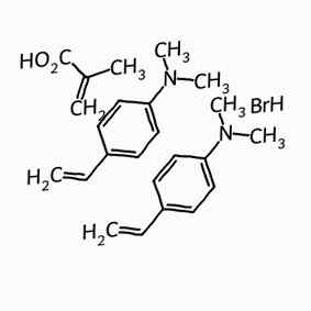 Br.C=C(C)C(=O)O.C=Cc1ccc(N(C)C)cc1.C=Cc1ccc(N(C)C)cc1